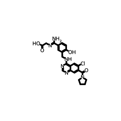 NC(=NCC(=O)O)c1ccc(O)c(CNc2ncnc3cc(C(=O)N4CCCC4)c(Cl)cc23)c1